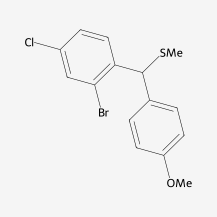 COc1ccc(C(SC)c2ccc(Cl)cc2Br)cc1